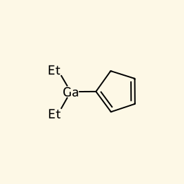 C[CH2][Ga]([CH2]C)[C]1=CC=CC1